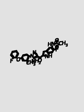 Cc1cc(Oc2ccccc2F)ccc1-n1ncc(C(=O)c2cc3cc(NS(C)(=O)=O)c(F)cc3[nH]2)c1N